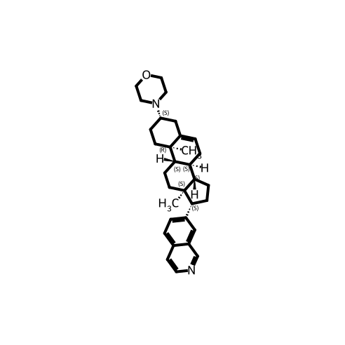 C[C@]12CC[C@H]3[C@@H](CC=C4C[C@@H](N5CCOCC5)CC[C@@]43C)[C@@H]1CC[C@@H]2c1ccc2ccncc2c1